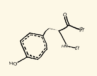 CCN[C@H](Cc1ccc(O)cc1)C(=O)C(C)C